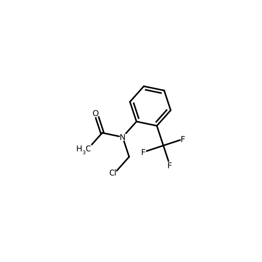 CC(=O)N(CCl)c1ccccc1C(F)(F)F